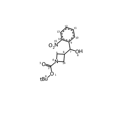 CC(C)(C)OC(=O)N1CC(C(O)c2ccccc2[N+](=O)[O-])C1